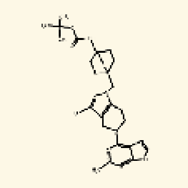 Cc1nc(N2CCc3c(c(C)nn3CC34CCC(NC(=O)OC(C)(C)C)(CC3)CC4)C2)c2cc[nH]c2n1